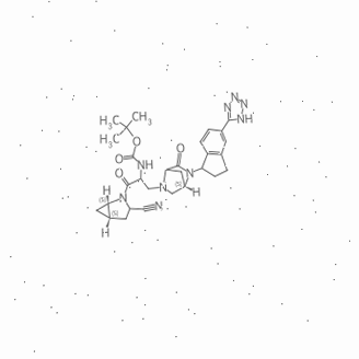 CC(C)(C)OC(=O)NC(CN1C[C@@H]2CC1C(=O)N2C1CCc2cc(-c3nnn[nH]3)ccc21)C(=O)N1C(C#N)C[C@@H]2C[C@@H]21